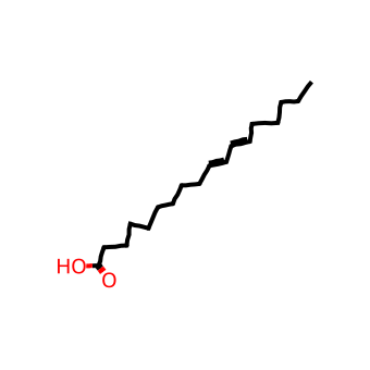 CCCCC/C=C/C=C/CCCCCCCCC(=O)O